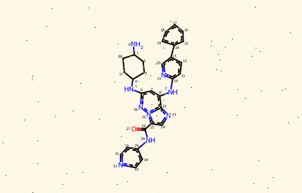 NC1CCC(Nc2cc(Nc3ccc(-c4ccccc4)cn3)c3ncc(C(=O)Nc4ccncc4)n3n2)CC1